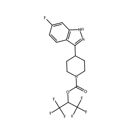 O=C(OC(C(F)(F)F)C(F)(F)F)N1CCC(c2n[nH]c3cc(F)ccc23)CC1